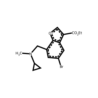 CCOC(=O)c1coc2c(CN(C)C3CC3)cc(Br)cc12